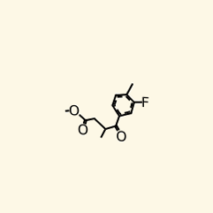 COC(=O)CC(C)C(=O)c1ccc(C)c(F)c1